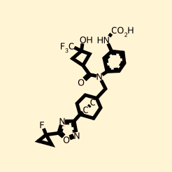 O=C(O)Nc1cccc(N(CC23CCC(c4noc(C5(F)CC5)n4)(CC2)CC3)C(=O)C2CC(O)(C(F)(F)F)C2)c1